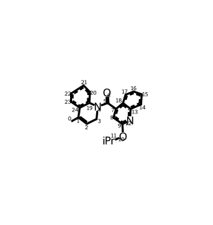 CC1=CCN(C(=O)c2cc(OC(C)C)nc3ccccc23)c2ccccc21